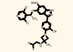 COc1cc2[nH]nc(-c3cnc(N4CC(C)(NCC(F)F)C4)c(C#N)c3)c2cc1O[C@H](C)c1c(Cl)cncc1Cl